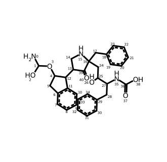 NC(O)OC1Cc2ccccc2C1C1CNC(Cc2ccccc2)(CC(O)C(Cc2ccccc2)NC(=O)O)C1=O